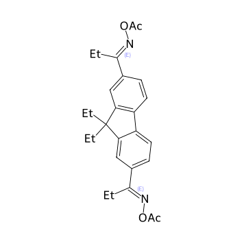 CC/C(=N\OC(C)=O)c1ccc2c(c1)C(CC)(CC)c1cc(/C(CC)=N/OC(C)=O)ccc1-2